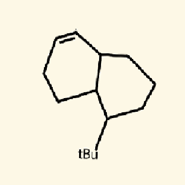 CC(C)(C)C1CCCC2[C]=CCCC21